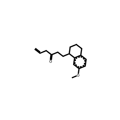 C=CCC(=O)CCC1CCCc2ccc(OC)cc21